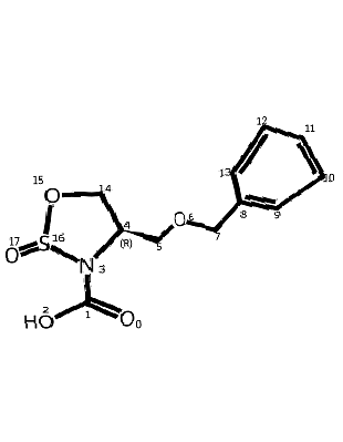 O=C(O)N1[C@H](COCc2ccccc2)COS1=O